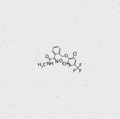 CNC(=O)/C(=N/OC)c1ccccc1COc1ccc(C(F)(F)F)cc1Cl